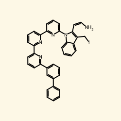 N/C=C\c1c(CI)c2ccccc2n1-c1cccc(-c2cccc(-c3cccc(-c4cccc(-c5ccccc5)c4)n3)n2)n1